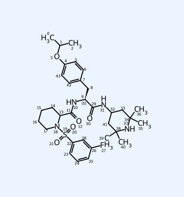 CC(C)Oc1ccc(C[C@H](NC(=O)C2CCCCN2S(=O)(=O)c2cccc(F)c2)C(=O)NC2CC(C)(C)NC(C)(C)C2)cc1